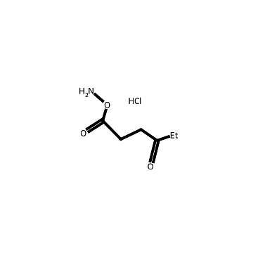 CCC(=O)CCC(=O)ON.Cl